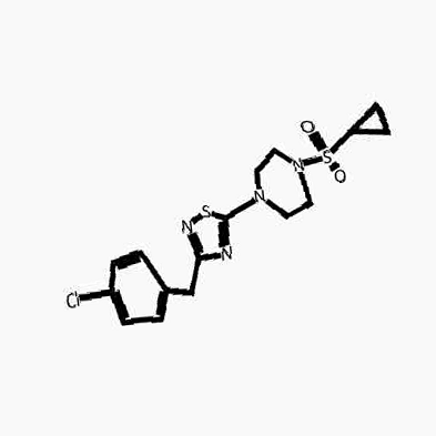 O=S(=O)(C1CC1)N1CCN(c2nc(Cc3ccc(Cl)cc3)ns2)CC1